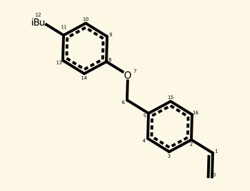 C=Cc1ccc(COc2ccc(C(C)CC)cc2)cc1